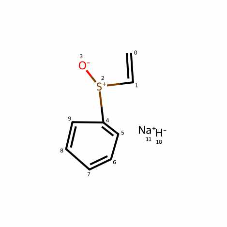 C=C[S+]([O-])c1ccccc1.[H-].[Na+]